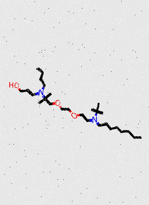 CCCCCCCCN(CCOCCOCC(C)(C)N(CCCC)CCCO)C(C)(C)C